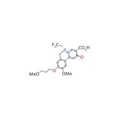 COCCCOc1cc2c(cc1OC)-c1cc(=O)c(C(=O)O)cn1[C@@H](CC(F)(F)F)C2